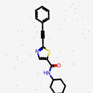 O=C(NC1CCCCC1)c1cnc(C#Cc2ccccc2)s1